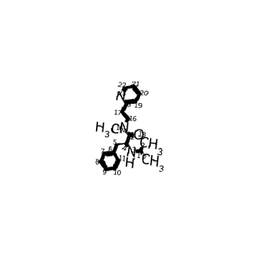 CC(C)N[C@@H](Cc1ccccc1)C(=O)N(C)CCc1ccccn1